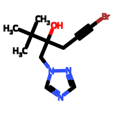 CC(C)(C)C(O)(CC#CBr)Cn1cncn1